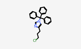 ClCCCc1cn(C(c2ccccc2)(c2ccccc2)c2ccccc2)cn1